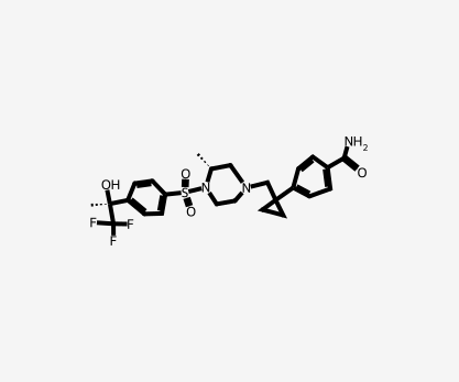 C[C@@H]1CN(CC2(c3ccc(C(N)=O)cc3)CC2)CCN1S(=O)(=O)c1ccc([C@](C)(O)C(F)(F)F)cc1